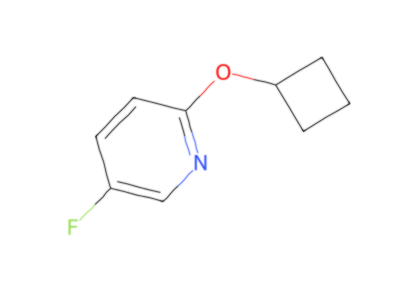 Fc1ccc(OC2CCC2)nc1